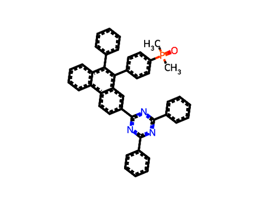 CP(C)(=O)c1ccc(-c2c(-c3ccccc3)c3ccccc3c3ccc(-c4nc(-c5ccccc5)nc(-c5ccccc5)n4)cc23)cc1